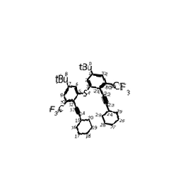 CC(C)(C)c1cc(Sc2cc(C(C)(C)C)cc(C(F)(F)F)c2C#CC2CCCCC2)c(C#CC2CCCCC2)c(C(F)(F)F)c1